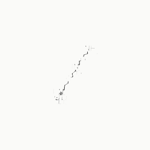 CC(C)(C)OC(=O)NCCCOCCC(=O)NCCOCCN